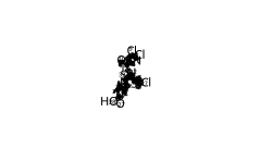 O=CN(c1cnc(Cl)c(Cl)c1)c1nc(-c2cc(Cl)cs2)c(N2CC3CN(C(=O)O)CC3C2)s1